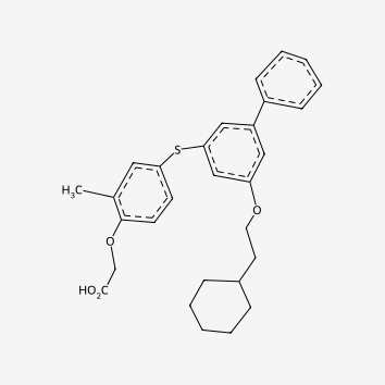 Cc1cc(Sc2cc(OCCC3CCCCC3)cc(-c3ccccc3)c2)ccc1OCC(=O)O